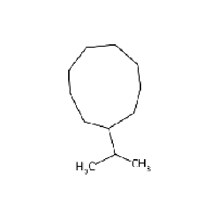 CC(C)C1CCCCCCCC1